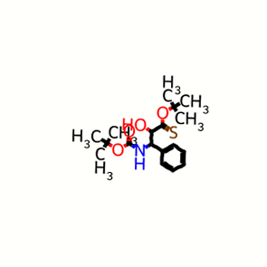 CC(C)(C)OC(=O)NC(c1ccccc1)C(O)C(=S)OC(C)(C)C